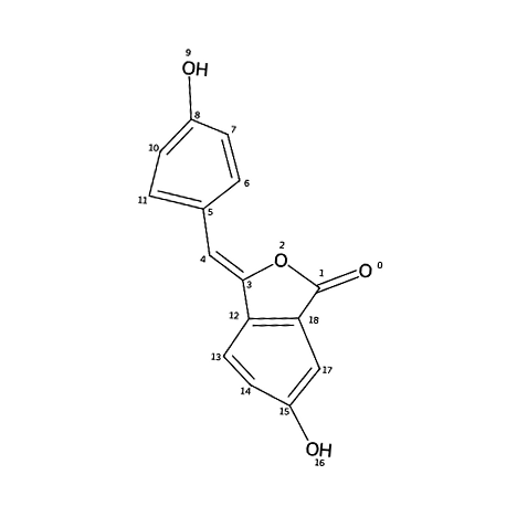 O=C1OC(=Cc2ccc(O)cc2)c2ccc(O)cc21